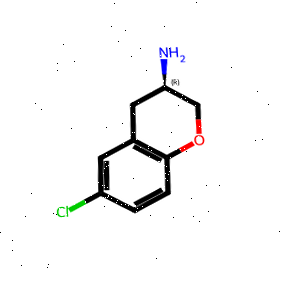 N[C@H]1COc2ccc(Cl)cc2C1